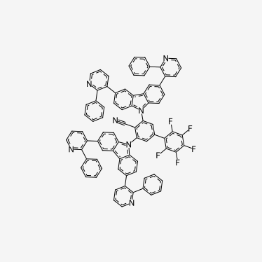 N#Cc1c(-n2c3ccc(-c4cccnc4-c4ccccc4)cc3c3cc(-c4cccnc4-c4ccccc4)ccc32)cc(-c2c(F)c(F)c(F)c(F)c2F)cc1-n1c2ccc(-c3cccnc3-c3ccccc3)cc2c2cc(-c3cccnc3-c3ccccc3)ccc21